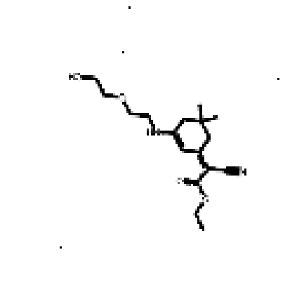 CCOC(=O)/C(C#N)=C1\C=C(NCCOCCO)CC(C)(C)C1